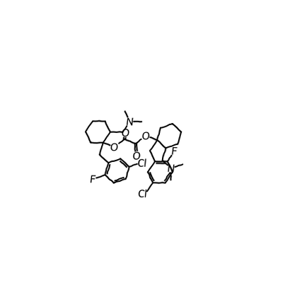 CN(C)CC1CCCCC1(Cc1cc(Cl)ccc1F)OC(=O)C(=O)OC1(Cc2cc(Cl)ccc2F)CCCCC1CN(C)C